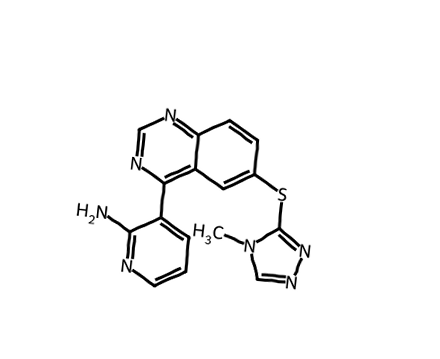 Cn1cnnc1Sc1ccc2ncnc(-c3cccnc3N)c2c1